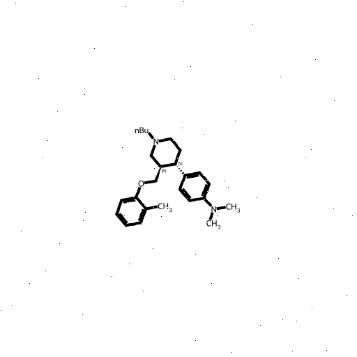 CCCCN1CC[C@H](c2ccc(N(C)C)cc2)[C@@H](COc2ccccc2C)C1